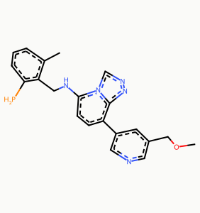 COCc1cncc(-c2ccc(NCc3c(C)cccc3P)n3cnnc23)c1